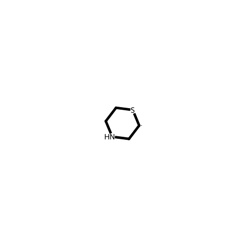 [CH]1CNCCS1